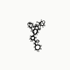 C[C@H]1COCCN1c1nc(N2CCOC[C@@H]2C)c2c(n1)=C=CC(c1cccc(C(=O)C=C3CCCCCC3)c1)=CC=2